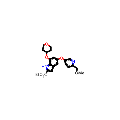 CCOC(=O)c1cc2cc(Oc3ccc(COC)nc3)cc(OC3CCOCC3)c2[nH]1